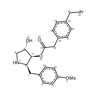 COc1ccc(C[C@H]2NC[C@H](O)[C@H]2OC(=O)Cc2ccc(CC(C)C)cc2)cc1